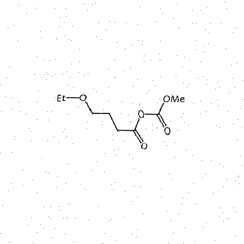 CCOCCCC(=O)OC(=O)OC